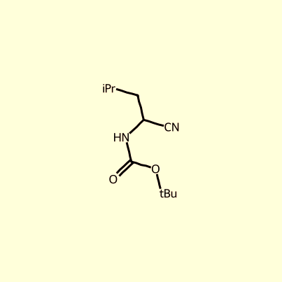 CC(C)CC(C#N)NC(=O)OC(C)(C)C